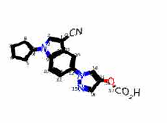 N#Cc1cn(C2CCCC2)c2ccc(-n3cc(OC(=O)O)cn3)cc12